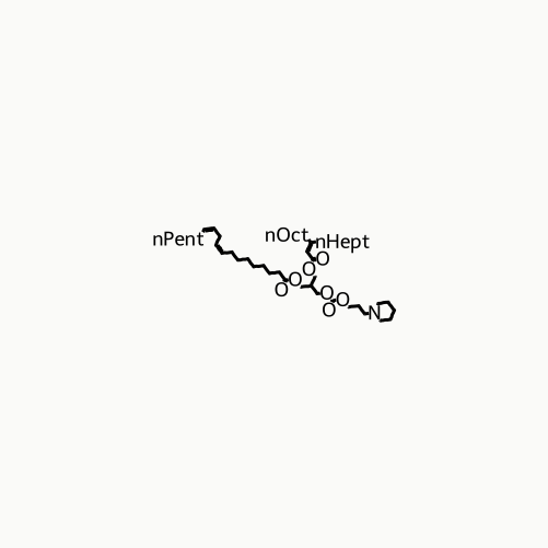 CCCCC/C=C\C/C=C\CCCCCCCC(=O)OCC(COC(=O)/C=C(\CCCCCCC)CCCCCCCC)COC(=O)OCCCN1CCCCC1